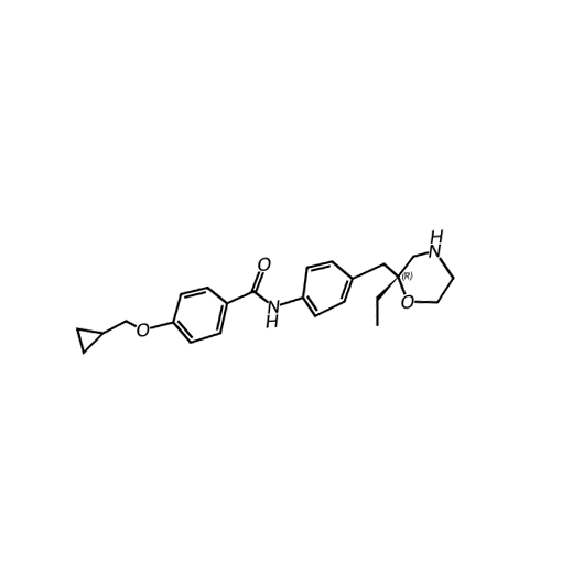 CC[C@@]1(Cc2ccc(NC(=O)c3ccc(OCC4CC4)cc3)cc2)CNCCO1